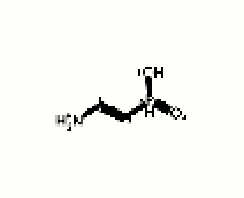 N/C=C/[PH](=O)O